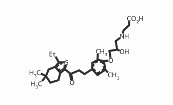 CCc1sc(C(=O)CCc2cc(C)c(OCC(O)CNCCC(=O)O)c(C)c2)c2c1CC(C)(C)CC2